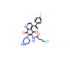 C=C(c1ccc(F)cc1)c1ccnc2c1C(=O)C(NC(=O)CCCCl)=C(N1CCNCC1)C2=O